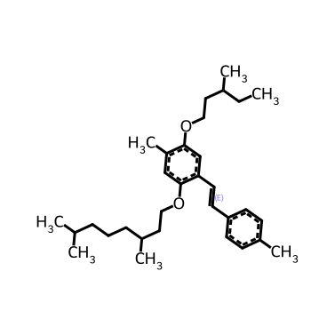 CCC(C)CCOc1cc(/C=C/c2ccc(C)cc2)c(OCCC(C)CCCC(C)C)cc1C